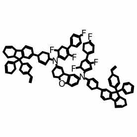 C=CC1=CCC(C2(C3=CC=CCC3)c3cc(C4C=CC(N(C5=CC6c7cc(N(C8=CCC(c9ccc%10c(c9)C(C9=CCC(C=C)C=C9)(c9ccccc9)C9=C%10C=CCC9)C=C8)C8=CC(F)=C(C9=CC=C(F)CC9)CC8F)ccc7OC6CC5)C5=CC(F)=C(c6ccc(F)cc6)CC5F)CC4)ccc3C3C=CCCC32)C=C1